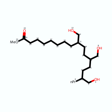 CCCC(CO)CCC(CO)CCC(CO)CCCCCCCC(=O)OC